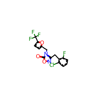 O=c1onc(Cc2c(F)cccc2Cl)n1Cc1ccc(C(F)(F)F)o1